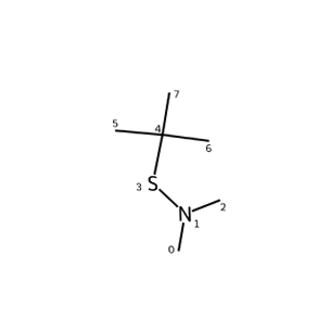 CN(C)SC(C)(C)C